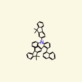 CC1(C)c2ccccc2-c2ccc(-c3c(-c4cccc5ccccc45)cccc3N(c3ccccc3)c3ccc4c(c3)C(C)(C)c3ccccc3-4)cc21